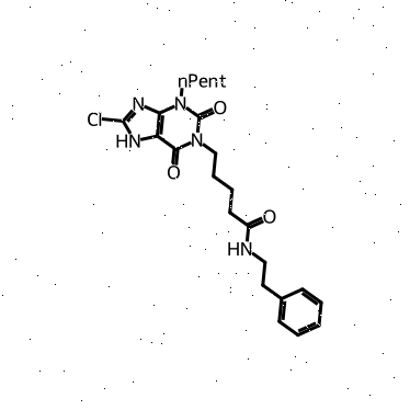 CCCCCn1c(=O)n(CCCCC(=O)NCCc2ccccc2)c(=O)c2[nH]c(Cl)nc21